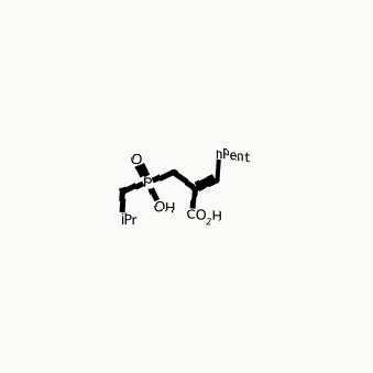 CCCCCC=C(CP(=O)(O)CC(C)C)C(=O)O